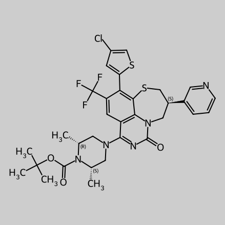 C[C@@H]1CN(c2nc(=O)n3c4c(c(-c5cc(Cl)cs5)c(C(F)(F)F)cc24)SC[C@@H](c2cccnc2)C3)C[C@H](C)N1C(=O)OC(C)(C)C